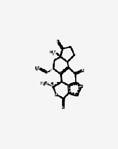 C=C[C@@H]1C[C@]2(C)C(=O)CCC2C2=C1[C@]1(C)c3c(coc3C2=O)C(=O)O[C@@H]1C